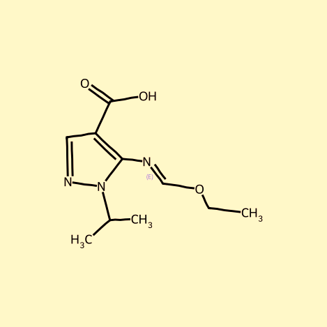 CCO/C=N/c1c(C(=O)O)cnn1C(C)C